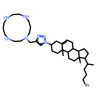 CC(C)CCCC(C)C1CCC2C3CC=C4CC(n5cc(CN6CCCNCCNCCCNCC6)nn5)CCC4(C)C3CCC12C